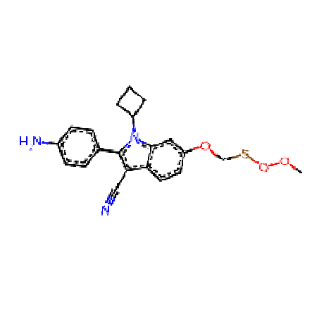 COOSCOc1ccc2c(C#N)c(-c3ccc(N)cc3)n(C3CCC3)c2c1